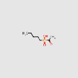 CCCCCP(=O)(O)C(C)=O